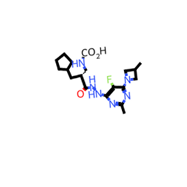 Cc1nc(NNC(=O)[C@@H](CNC(=O)O)CC2CCCC2)c(F)c(N2CC(C)C2)n1